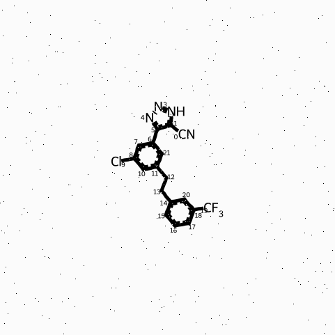 N#Cc1[nH]nnc1-c1cc(Cl)cc(CCc2cccc(C(F)(F)F)c2)c1